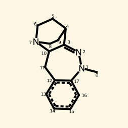 CN1N=C2C3CCN(CC3)C2Cc2ccccc21